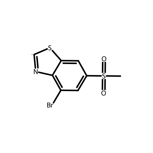 CS(=O)(=O)c1cc(Br)c2n[c]sc2c1